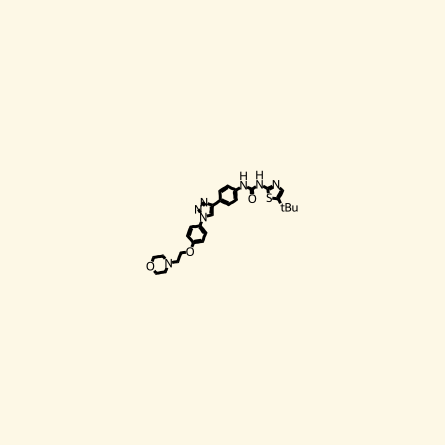 CC(C)(C)c1cnc(NC(=O)Nc2ccc(-c3cn(-c4ccc(OCCN5CCOCC5)cc4)nn3)cc2)s1